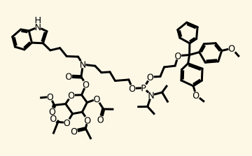 COC(=O)C1OC(OC(=O)N(CCCCCOP(OCCCOC(c2ccccc2)(c2ccc(OC)cc2)c2ccc(OC)cc2)N(C(C)C)C(C)C)CCCCc2c[nH]c3ccccc23)C(OC(C)=O)C(OC(C)=O)C1OC(C)=O